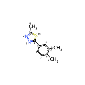 Cc1nnc(-c2ccc(C)c(C)c2)s1